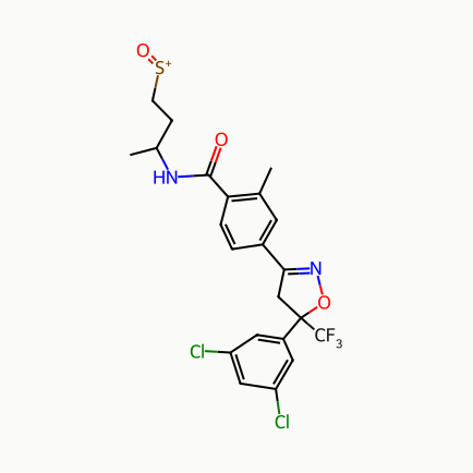 Cc1cc(C2=NOC(c3cc(Cl)cc(Cl)c3)(C(F)(F)F)C2)ccc1C(=O)NC(C)CC[S+]=O